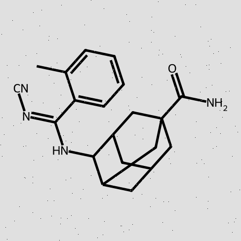 Cc1ccccc1/C(=N\C#N)NC1C2CC3CC1CC(C(N)=O)(C3)C2